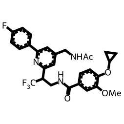 COc1cc(C(=O)NCC(c2cc(CNC(C)=O)cc(-c3ccc(F)cc3)n2)C(F)(F)F)ccc1OC1CC1